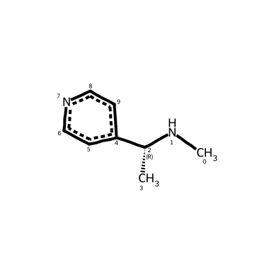 CN[C@H](C)c1ccncc1